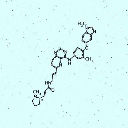 Cc1cc(Nc2ncnc3ccc(/C=C/CNC(=O)C=C[C@H]4CCCN4C)nc23)ccc1Oc1ccc2c(c1)ncn2C